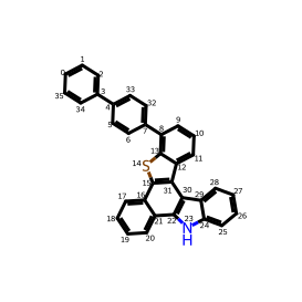 c1ccc(-c2ccc(-c3cccc4c3sc3c5ccccc5c5[nH]c6ccccc6c5c43)cc2)cc1